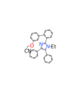 CCn1c(-c2ccccc2-c2cccc(OCC#N)c2)nc(-c2ccccc2)c1-c1ccccc1